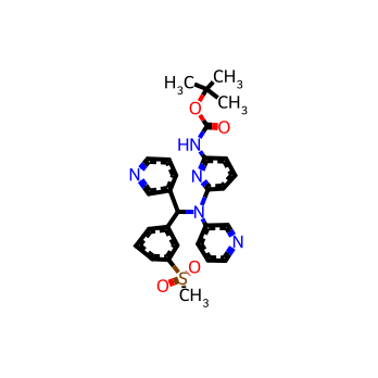 CC(C)(C)OC(=O)Nc1cccc(N(c2cccnc2)C(c2cccnc2)c2cccc(S(C)(=O)=O)c2)n1